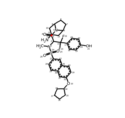 CN(C(C(=O)N1C2CCC1CC(N)C2)C(F)(F)c1ccc(O)cc1)S(=O)(=O)c1ccc2cc(OC3CCCC3)ccc2c1